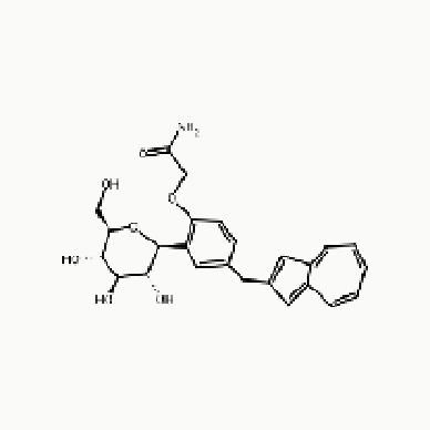 NC(=O)COc1ccc(Cc2cc3cccccc-3c2)cc1[C@@H]1O[C@H](CO)[C@@H](O)[C@H](O)[C@H]1O